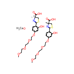 COCCOCCOCCOc1ccc(C2=NC(C)(C(=O)O)CS2)c(O)c1.COCCOCCOCCOc1ccc(C2=N[C@@](C)(C(=O)O)CS2)c(O)c1.[CaH2].[O]